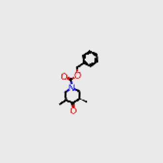 CC1CN(C(=O)OCc2ccccc2)C[C@@H](C)C1=O